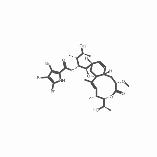 CO[C@H]1C[C@H]2C=C[C@@H]3C[C@]2(O[C@H]3[C@H](OC(=O)c2[nH]c(Br)c(Br)c2Br)[C@H](C)[C@H](C)O)/C(C)=C/[C@@H](C)[C@@H]([C@@H](C)O)OC1=O